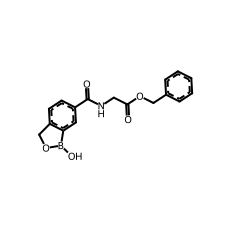 O=C(CNC(=O)c1ccc2c(c1)B(O)OC2)OCc1ccccc1